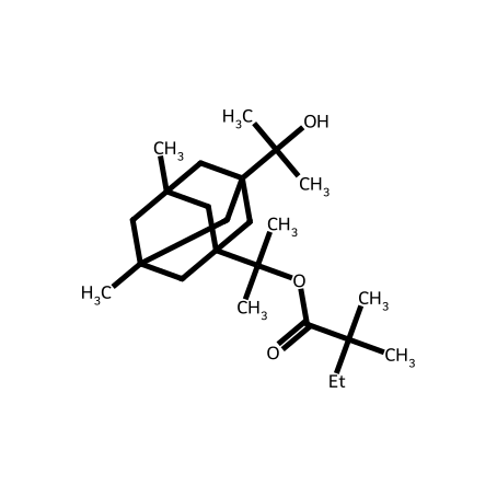 CCC(C)(C)C(=O)OC(C)(C)C12CC3(C)CC(C)(CC(C(C)(C)O)(C3)C1)C2